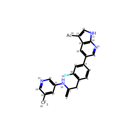 C=C(Cc1ccc(-c2cnc3[nH]cc(C(C)=O)c3c2)cc1F)Nc1cncc(C(F)(F)F)c1